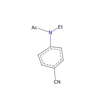 CCN(C(C)=O)c1ccc(C#N)cc1